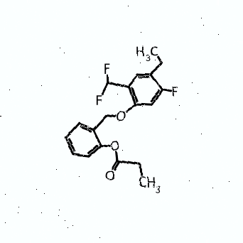 CCC(=O)Oc1ccccc1COc1cc(F)c(CC)cc1C(F)F